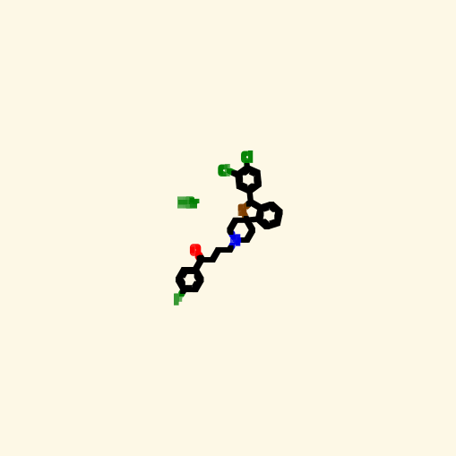 Br.O=C(CCCN1CCC2(CC1)SC(c1ccc(Cl)c(Cl)c1)c1ccccc12)c1ccc(F)cc1